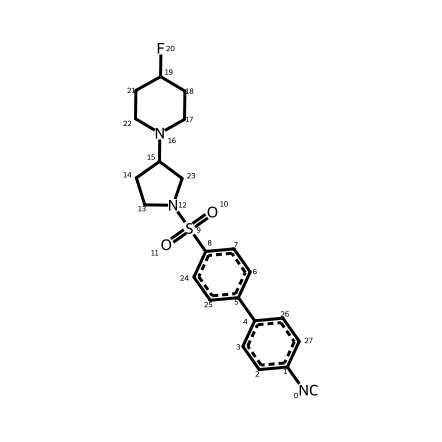 [C-]#[N+]c1ccc(-c2ccc(S(=O)(=O)N3CCC(N4CCC(F)CC4)C3)cc2)cc1